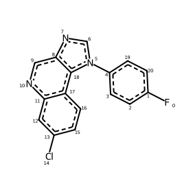 Fc1ccc(-n2cnc3cnc4cc(Cl)ccc4c32)cc1